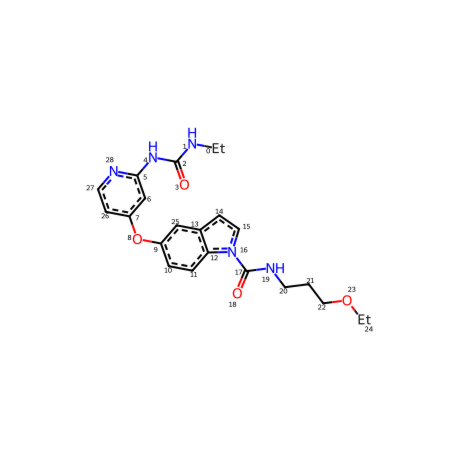 CCNC(=O)Nc1cc(Oc2ccc3c(ccn3C(=O)NCCCOCC)c2)ccn1